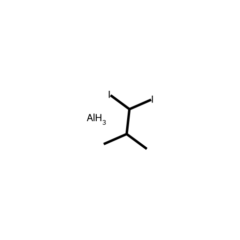 CC(C)C(I)I.[AlH3]